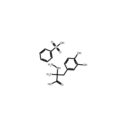 CC(Cc1ccc(O)c(O)c1)(NN)C(=O)O.O=S(=O)(O)c1ccccc1